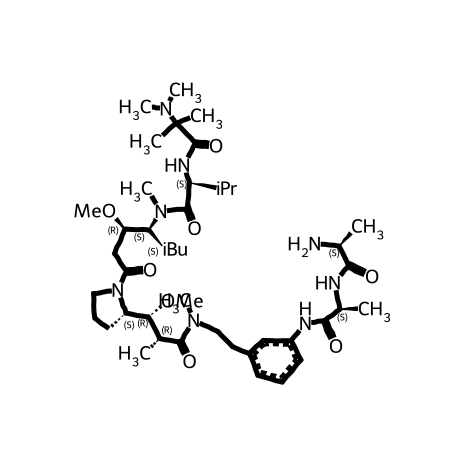 CC[C@H](C)[C@@H]([C@@H](CC(=O)N1CCC[C@H]1[C@H](OC)[C@@H](C)C(=O)N(C)CCc1cccc(NC(=O)[C@H](C)NC(=O)[C@H](C)N)c1)OC)N(C)C(=O)[C@@H](NC(=O)C(C)(C)N(C)C)C(C)C